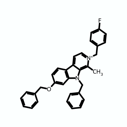 Cc1c2c(cc[n+]1Cc1ccc(F)cc1)c1ccc(OCc3ccccc3)cc1n2Cc1ccccc1